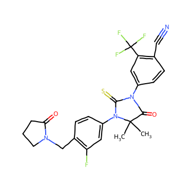 CC1(C)C(=O)N(c2ccc(C#N)c(C(F)(F)F)c2)C(=S)N1c1ccc(CN2CCCC2=O)c(F)c1